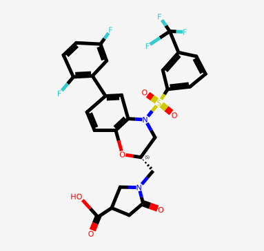 O=C(O)C1CC(=O)N(C[C@H]2CN(S(=O)(=O)c3cccc(C(F)(F)F)c3)c3cc(-c4cc(F)ccc4F)ccc3O2)C1